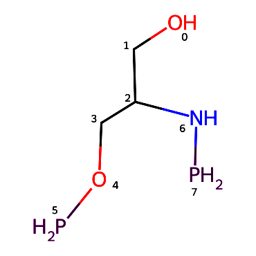 OCC(COP)NP